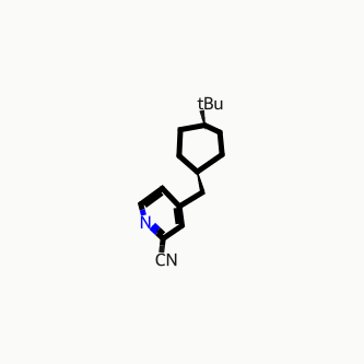 CC(C)(C)[C@H]1CC[C@@H](Cc2ccnc(C#N)c2)CC1